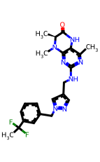 Cc1nc(NCc2cnn(Cc3cccc(C(C)(F)F)c3)c2)nc2c1NC(=O)[C@H](C)N2C